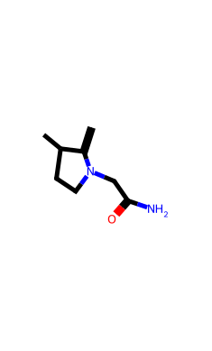 C=C1C(C)CCN1CC(N)=O